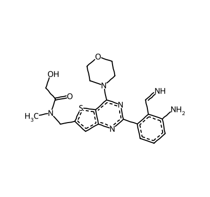 CN(Cc1cc2nc(-c3cccc(N)c3C=N)nc(N3CCOCC3)c2s1)C(=O)CO